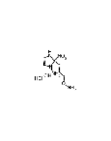 Cl.Cl.NOCCCC1([N+](=O)[O-])NC=CN1N